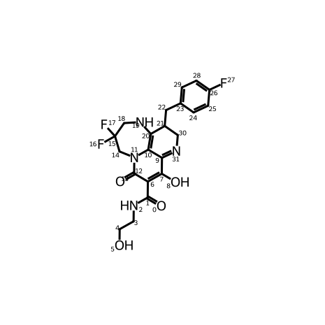 O=C(NCCO)c1c(O)c2c3n(c1=O)CC(F)(F)CNC=3C(Cc1ccc(F)cc1)CN=2